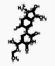 CCOC(O)c1cn(-c2cc3c(cc2F)n(C)c(=O)n3C)c(=O)[nH]c1=O